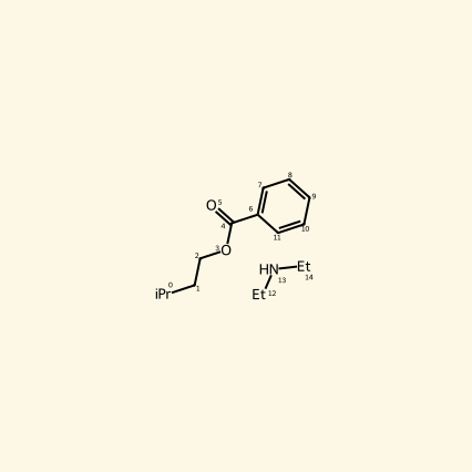 CC(C)CCOC(=O)c1ccccc1.CCNCC